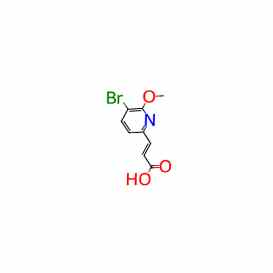 COc1nc(C=CC(=O)O)ccc1Br